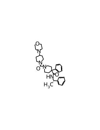 C[C@H](NC(=O)C1(c2ccccc2)CCN(C(=O)N2CCC(N3CCOCC3)CC2)CC1)c1ccccc1